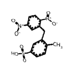 Cc1ccc(S(=O)(=O)O)cc1Cc1cc([N+](=O)[O-])ccc1[N+](=O)[O-]